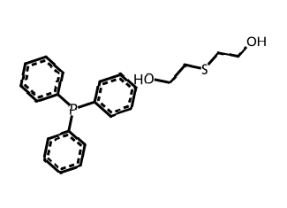 OCCSCCO.c1ccc(P(c2ccccc2)c2ccccc2)cc1